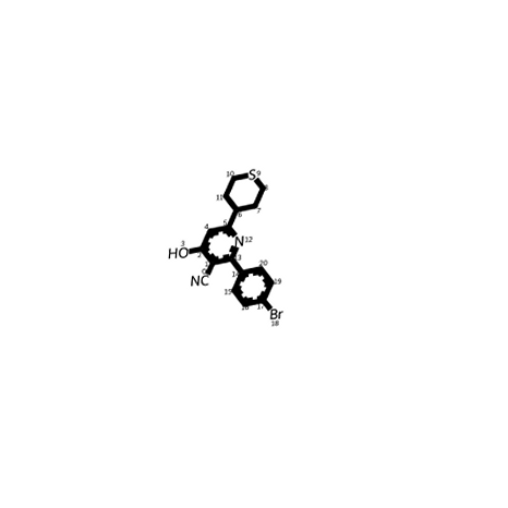 N#Cc1c(O)cc(C2CCSCC2)nc1-c1ccc(Br)cc1